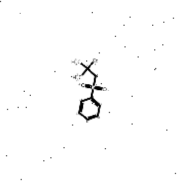 CCC(C)(C)CS(=O)(=O)c1ccccc1